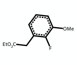 CCOC(=O)Cc1cccc(OC)c1F